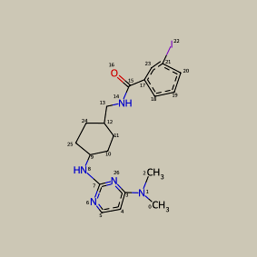 CN(C)c1ccnc(NC2CCC(CNC(=O)c3cccc(I)c3)CC2)n1